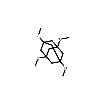 COC12CC3(OC)CC(OC)(C1)CC(OC)(C2)C3